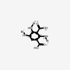 O=C(O)c1cc(NBr)c(NBr)c(C(=O)O)c1NBr